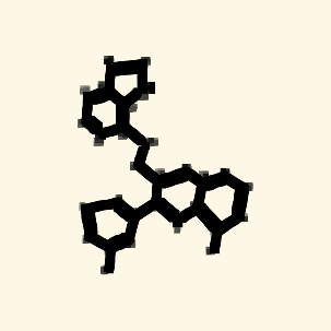 Cc1cccc(-c2nc3c(C)cccc3cc2CSc2ncnc3nc[nH]c23)c1